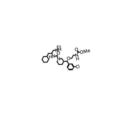 CCNCC(CC1CCCCC1)NC(=O)N1CCCC(C(OCCNC(=O)OC)c2cccc(Cl)c2)C1